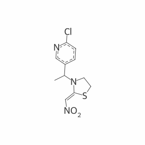 CC(c1ccc(Cl)nc1)N1CCSC1=C[N+](=O)[O-]